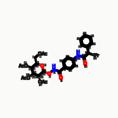 CC(=O)OC[C@H]1O[C@@H](ONC(=O)c2ccc(NC(=O)C(c3ccccc3)C(C)C)cc2)[C@H](OC(C)=O)[C@@H](OC(C)=O)[C@H]1OC(C)=O